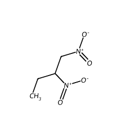 CCC(C[N+](=O)[O-])[N+](=O)[O-]